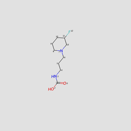 O=C(O)NCCCN1CCCC(F)C1